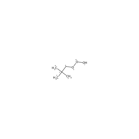 CC(C)(C)COOO